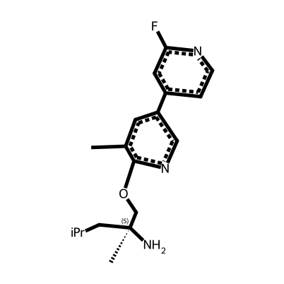 Cc1cc(-c2ccnc(F)c2)cnc1OC[C@@](C)(N)CC(C)C